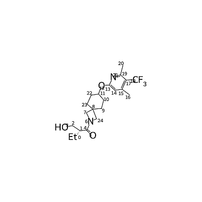 CC[C@H](CO)C(=O)N1CC2(CCC(Oc3cc(C)c(C(F)(F)F)c(C)n3)CC2)C1